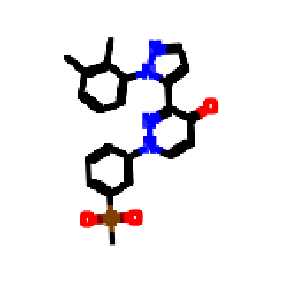 Cc1cccc(-n2nccc2-c2nn(-c3cccc(S(C)(=O)=O)c3)ccc2=O)c1C